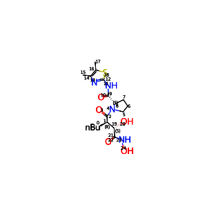 CCCC[C@@H](C(=O)N1CCC[C@H]1C(=O)Nc1nc(C)c(C)s1)[C@H](O)C(=O)NO